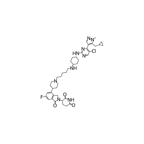 Cn1ncc(-c2nc(N[C@H]3CC[C@H](NCCCCCN4CCC(c5cc(F)cc6c5CN(C5CCC(=O)NC5=O)C6=O)CC4)CC3)ncc2Cl)c1CC1CC1